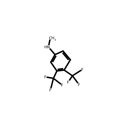 CNc1ccc(C(F)(F)F)c(C(F)(F)F)c1